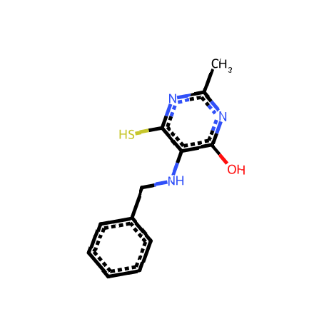 Cc1nc(O)c(NCc2ccccc2)c(S)n1